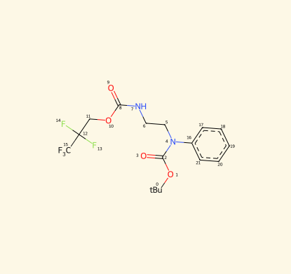 CC(C)(C)OC(=O)N(CCNC(=O)OCC(F)(F)C(F)(F)F)c1ccccc1